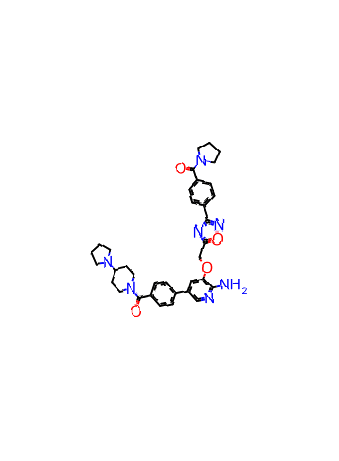 Nc1ncc(-c2ccc(C(=O)N3CCC(N4CCCC4)CC3)cc2)cc1OCc1nc(-c2ccc(C(=O)N3CCCC3)cc2)no1